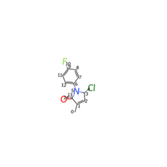 CC1=CC(Cl)N(c2ccc(F)cc2)C1=O